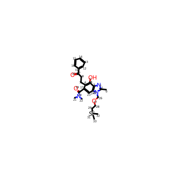 Cc1nc2c(O)c(CCC(=O)c3ccccc3)c(C(=O)N(C)C)cc2n1COCC[Si](C)(C)C